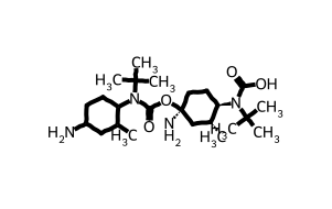 CC1CC(N)CCC1N(C(=O)O[C@@]1(N)CC[C@@H](N(C(=O)O)C(C)(C)C)[C@H](C)C1)C(C)(C)C